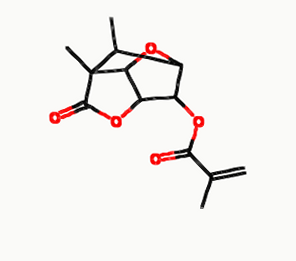 C=C(C)C(=O)OC1C2OC3C1OC(=O)C3(C)C2C